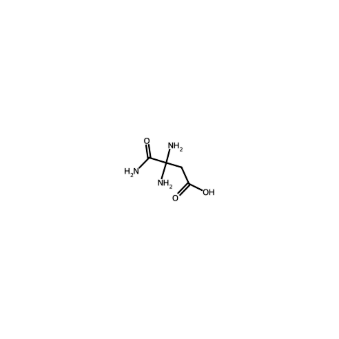 NC(=O)C(N)(N)CC(=O)O